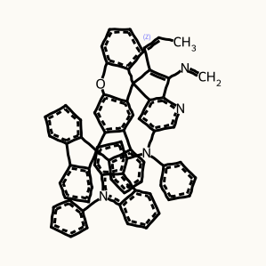 C=NC1=C(/C=C\C)C2(c3ccccc3Oc3cc4c(cc32)-c2ccccc2C42c3ccccc3-c3ccccc32)c2cc(N(c3ccccc3)c3cccc4c3c3ccccc3n4-c3ccccc3)cnc21